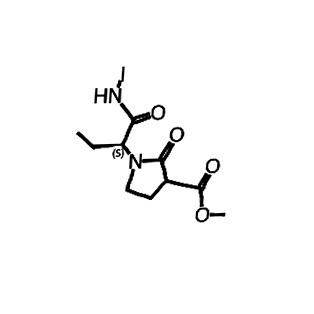 CC[C@@H](C(=O)NI)N1CCC(C(=O)OC)C1=O